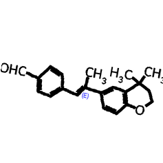 C/C(=C\c1ccc(C=O)cc1)c1ccc2c(c1)C(C)(C)CCO2